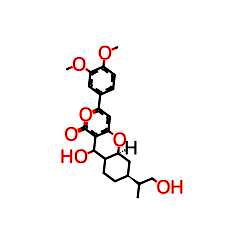 COc1ccc(-c2cc3c(c(=O)o2)C(O)C2CC[C@H](C(C)CO)C[C@@H]2O3)cc1OC